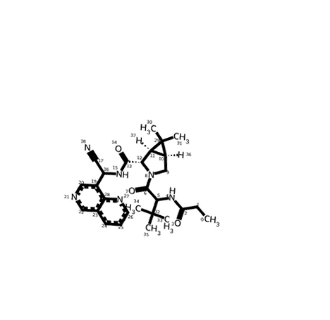 CCC(=O)NC(C(=O)N1C[C@H]2[C@@H]([C@H]1C(=O)NC(C#N)c1cncc3cccnc13)C2(C)C)C(C)(C)C